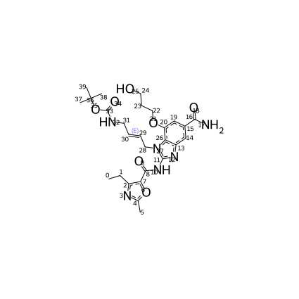 CCc1nc(C)oc1C(=O)Nc1nc2cc(C(N)=O)cc(OCCCO)c2n1C/C=C/CNC(=O)OC(C)(C)C